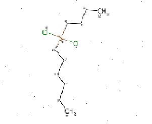 CCCCCCS(Cl)(Cl)CCCC